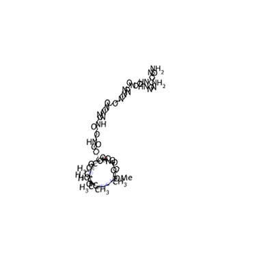 CO[C@H]1CC2CCCC(O2)C(=O)C(=O)N2CCCC[C@H]2C(=O)O[C@H](CC[C@H]2CC[C@H](OC(=O)NCCOCCC(=O)NCc3cnc(N4CCN(C(=O)CCOCCN5CCN(c6ncc(C(=O)N7CCc8cc(CNc9ncnc(N)c9C(=N)c9ccc%10oc(N)nc%10c9)ccc8C7)cn6)CC5)CC4)nc3)CC2)CC(=O)[C@H](C)/C=C(\C)[C@@H](O)CC(=O)[C@H](C)C[C@H](C)/C=C/C=C/C=C/1C